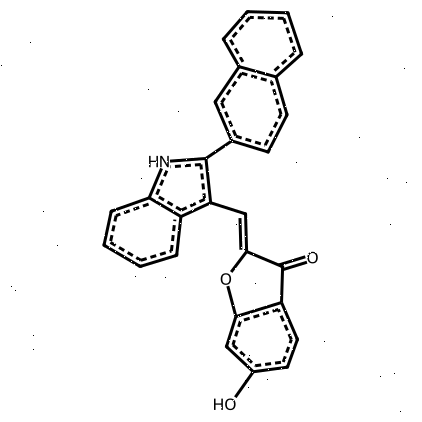 O=C1C(=Cc2c(-c3ccc4ccccc4c3)[nH]c3ccccc23)Oc2cc(O)ccc21